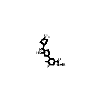 CCNC(=O)c1cc(F)c(C)c(-c2ccc3c(-c4ccc(C(F)(F)F)cc4)n[nH]c3c2)c1